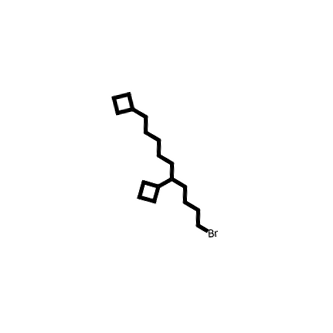 BrCCCCC(CCCCCC1CCC1)C1CCC1